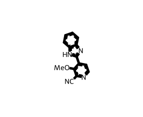 COc1c(-c2nc3ccccc3[nH]2)ccnc1C#N